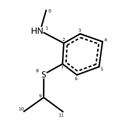 CNc1ccccc1SC(C)C